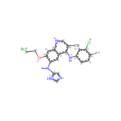 CN(c1cnc[nH]1)c1cc2c(Nc3ccc(F)c(Cl)c3)c(C#N)cnc2cc1OCCBr